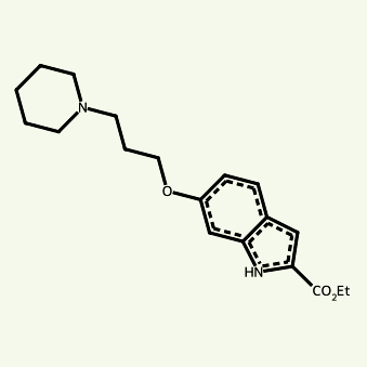 CCOC(=O)c1cc2ccc(OCCCN3CCCCC3)cc2[nH]1